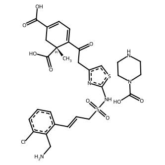 C[C@@]1(C(=O)O)CC(C(=O)O)=CC=C1C(=O)Cc1csc(NS(=O)(=O)CC=Cc2cccc(Cl)c2CN)n1.O=C(O)N1CCNCC1